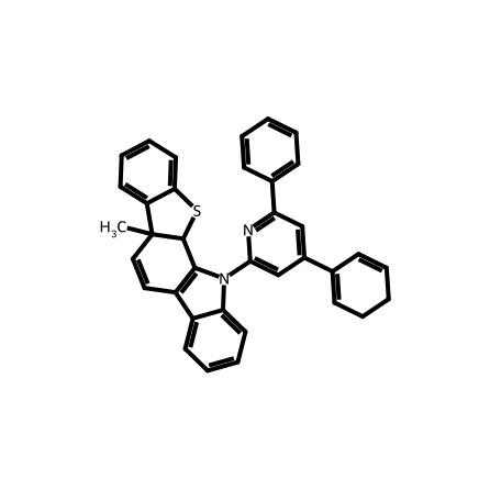 CC12C=Cc3c(n(-c4cc(C5=CCCC=C5)cc(-c5ccccc5)n4)c4ccccc34)C1Sc1ccccc12